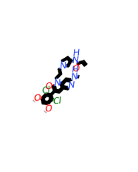 C=CC(=O)N[C@H]1CCN(CCCn2c(=O)c(-c3c(Cl)c(OC)cc(OC)c3Cl)cc3cnc(NC)cc32)C1